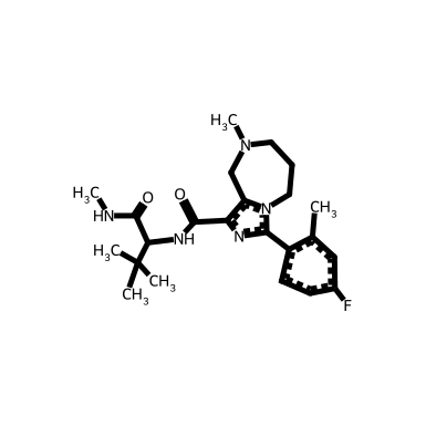 CNC(=O)C(NC(=O)c1nc(-c2ccc(F)cc2C)n2c1CN(C)CCC2)C(C)(C)C